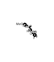 COc1ccc(CNC(=O)c2cc(NC(=O)c3cc(F)c(F)cc3Cl)[nH]n2)cn1